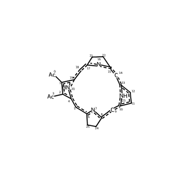 CC(=O)c1c(C(C)=O)c2cc3nc(cc4ccc(cc5nc(cc1[nH]2)CC5)[nH]4)CC3